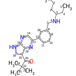 CCCC(CC)NCc1cccc(-c2cnc3[nH]cc(C(=O)C(C)(C)C)c3n2)c1